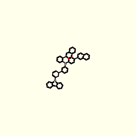 C1=CC(c2cccc(N(c3ccc(-c4ccc5ccccc5c4)cc3)c3ccccc3-c3ccc4ccccc4c3)c2)CC(n2c3ccccc3c3ccccc32)=C1